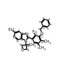 CCc1cc2nc(-c3cc(C)c(C)c(OCc4ccccc4)c3F)n(C3(C)COC3)c2cn1